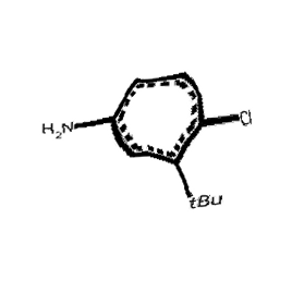 CC(C)(C)c1cc(N)ccc1Cl